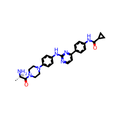 C[C@H](N)C(=O)N1CCN(c2ccc(Nc3nccc(-c4ccc(NC(=O)C5CC5)cc4)n3)cc2)CC1